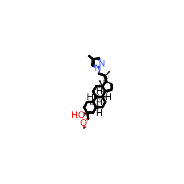 COC[C@@]1(O)CC[C@H]2[C@H](CC[C@@H]3[C@@H]2CC[C@]2(C)[C@@H]([C@H](C)Cn4cc(C)cn4)CC[C@@H]32)C1